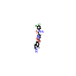 O=C(Nc1ccc(Cl)c(F)c1)c1ccn(S(=O)(=O)c2ccc3[nH]ccc3c2)n1